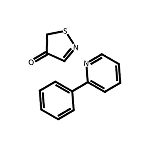 O=C1C=NSC1.c1ccc(-c2ccccn2)cc1